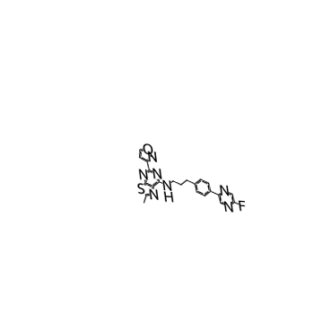 Cc1nc2c(NCCCc3ccc(-c4cnc(F)cn4)cc3)nc(-c3ccon3)nc2s1